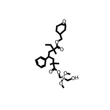 CCC(C)(CC(CC(C)(C)C(=O)OC[Si](CO)(OC)OC)c1ccccc1)C(=O)OCC1CCC2OC2C1